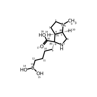 CN1CC[C@H]2[C@@H]1CN[C@@]2(CCCCB(O)O)C(=O)O